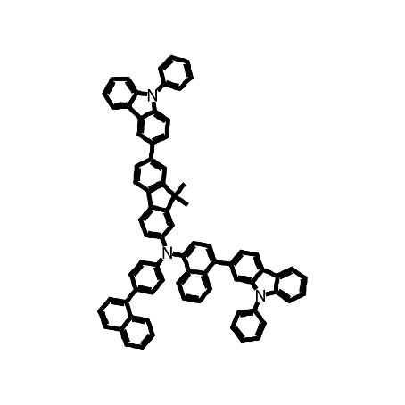 CC1(C)c2cc(-c3ccc4c(c3)c3ccccc3n4-c3ccccc3)ccc2-c2ccc(N(c3ccc(-c4cccc5ccccc45)cc3)c3ccc(-c4ccc5c6ccccc6n(-c6ccccc6)c5c4)c4ccccc34)cc21